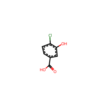 O=C(O)c1ccc(Cl)c(O)c1